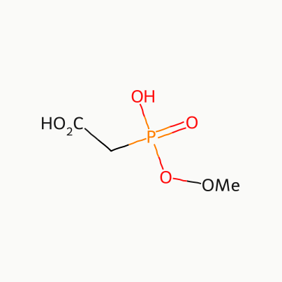 COOP(=O)(O)CC(=O)O